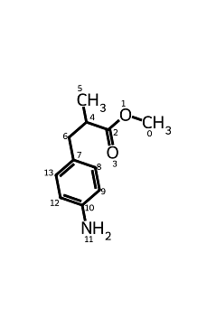 COC(=O)C(C)Cc1ccc(N)cc1